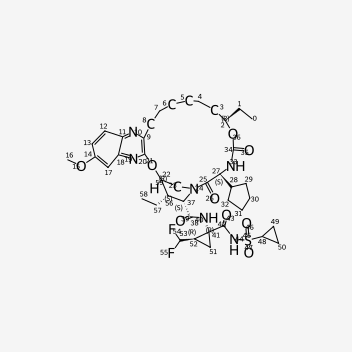 CC[C@@H]1CCCCCCc2nc3ccc(OC)cc3nc2O[C@H]2CN(C(=O)[C@H](C3CCCC3)NC(=O)O1)[C@H](C(=O)N[C@]1(C(=O)NS(=O)(=O)C3CC3)C[C@H]1C(F)F)[C@@H]2CC